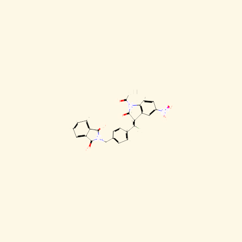 CC(=O)N1C(=O)/C(=C(/Cl)c2ccc(CN3C(=O)c4ccccc4C3=O)cc2)c2cc([N+](=O)[O-])ccc21